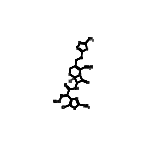 CO/N=C(/C(=O)NC1C(=O)N2C(C(=O)O)=C(CSc3nnc(C(F)(F)F)s3)CS[C@H]12)c1nc(N)sc1Cl